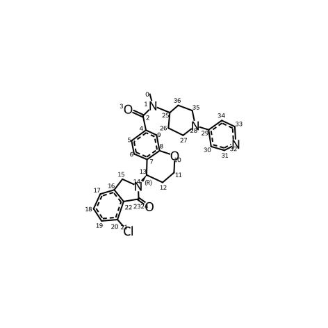 CN(C(=O)c1ccc2c(c1)OCC[C@H]2N1Cc2cccc(Cl)c2C1=O)C1CCN(c2ccncc2)CC1